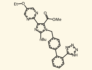 CCCCc1nc(-c2ncc(OCC)cn2)c(C(=O)OC)n1Cc1ccc(-c2ccccc2-c2nnn[nH]2)cc1